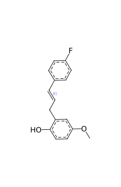 COc1ccc(O)c(C/C=C/c2ccc(F)cc2)c1